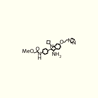 COCC(=O)Nc1ccc(-c2c(N)c3ccc(OCCn4ccnc4)cc3n2C2CCC2)cc1